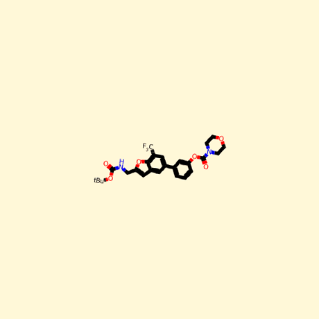 CC(C)(C)OC(=O)NCc1cc2cc(-c3cccc(OC(=O)N4CCOCC4)c3)cc(C(F)(F)F)c2o1